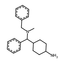 CN(Cc1ccccc1)C(c1ccccc1)C1CCC(N)CC1